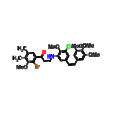 COc1cc(/C=C\c2cc(Cl)c(OC)c(N/C=C\C(=O)c3cc(C)c(C)c(OC)c3Br)c2)cc(OC)c1OC